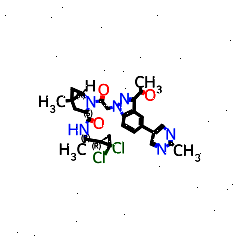 CC(=O)c1nn(CC(=O)N2[C@H](C(=O)N[C@H](C)[C@H]3CC3(Cl)Cl)CC3(C)C[C@@H]23)c2ccc(-c3cnc(C)nc3)cc12